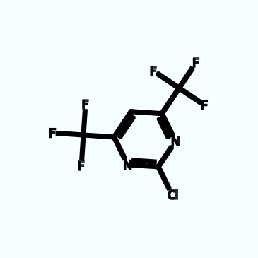 FC(F)(F)c1cc(C(F)(F)F)nc(Cl)n1